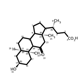 C[C@H](CCC(=O)O)C1CCC2C3CC[C@@H]4C[C@H](O)CC[C@]4(C)C3C(=O)C[C@@]21C